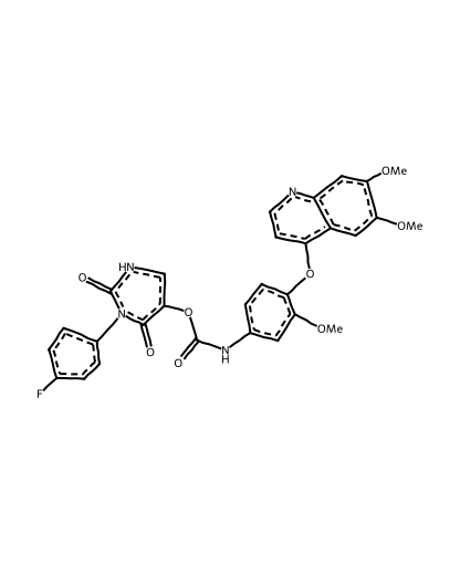 COc1cc2nccc(Oc3ccc(NC(=O)Oc4c[nH]c(=O)n(-c5ccc(F)cc5)c4=O)cc3OC)c2cc1OC